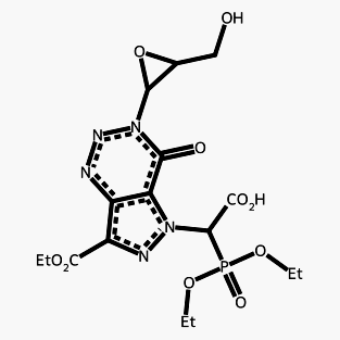 CCOC(=O)c1nn(C(C(=O)O)P(=O)(OCC)OCC)c2c(=O)n(C3OC3CO)nnc12